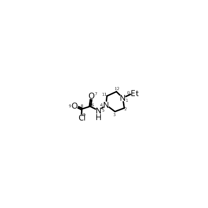 CCN1CCN(NC(=O)C(=O)Cl)CC1